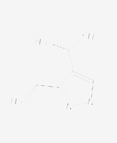 CCC1=N[N]C=C1C(C)C